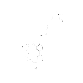 COCC(COC1OC(Cn2cc(-c3ccc(COC(=O)NCCCCCC(=O)ON4C(=O)CCC4=O)c(OC)c3)nn2)[C@H](OC(C)=O)[C@H](C)C1C)OC(C)=O